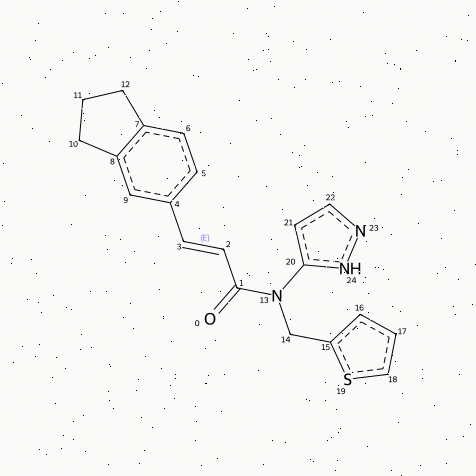 O=C(/C=C/c1ccc2c(c1)CCC2)N(Cc1cccs1)c1ccn[nH]1